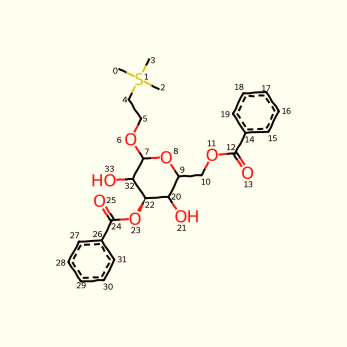 CS(C)(C)CCOC1OC(COC(=O)c2ccccc2)C(O)[C@@H](OC(=O)c2ccccc2)C1O